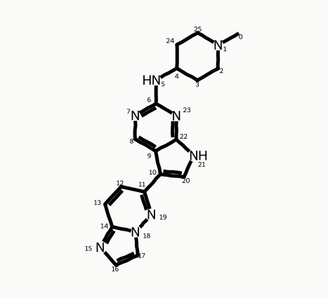 CN1CCC(Nc2ncc3c(-c4ccc5nccn5n4)c[nH]c3n2)CC1